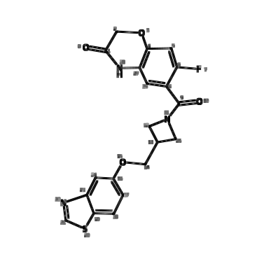 O=C1COc2cc(F)c(C(=O)N3CC(COc4ccc5scnc5c4)C3)cc2N1